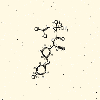 CC1(C)[C@H](C=C(Cl)Cl)[C@H]1C(=O)OC(C#N)c1cccc(Oc2ccc(Cl)cc2)c1